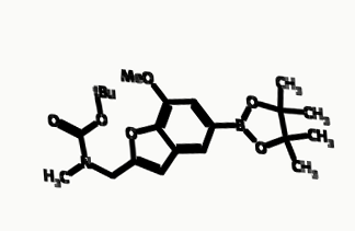 COc1cc(B2OC(C)(C)C(C)(C)O2)cc2cc(CN(C)C(=O)OC(C)(C)C)oc12